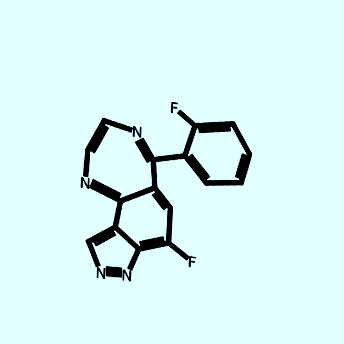 Fc1ccccc1-c1nccnc2c1cc(F)c1nncc12